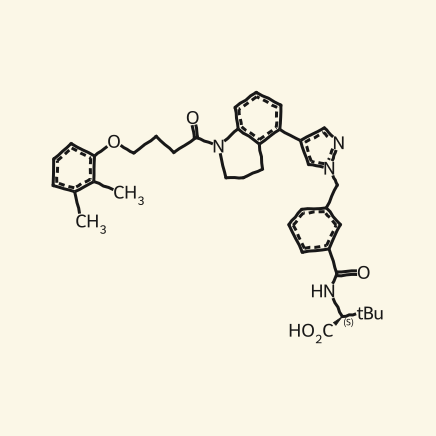 Cc1cccc(OCCCC(=O)N2CCCc3c(-c4cnn(Cc5cccc(C(=O)N[C@H](C(=O)O)C(C)(C)C)c5)c4)cccc32)c1C